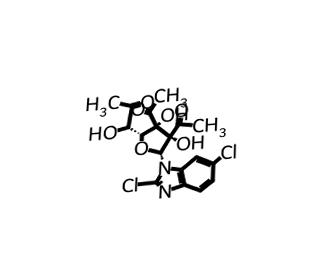 CC(=O)C(O)[C@H]1O[C@@H](n2c(Cl)nc3ccc(Cl)cc32)[C@@](O)(C(C)=O)[C@@]1(O)C(C)=O